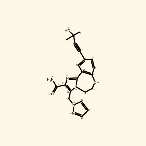 CC(C)(O)C#Cc1ccc2c(c1)-c1nc(C(N)=O)c(Cn3cccn3)n1CCO2